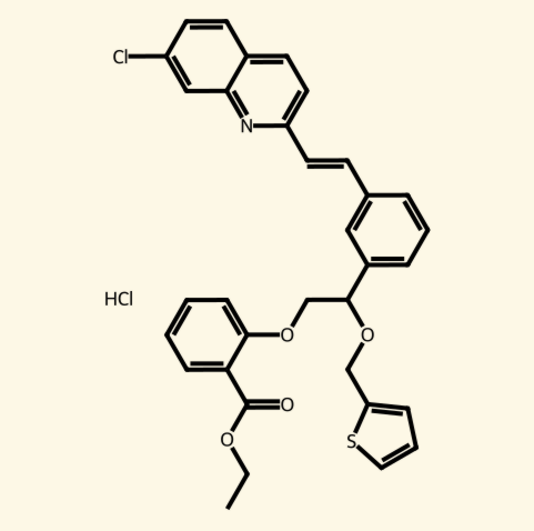 CCOC(=O)c1ccccc1OCC(OCc1cccs1)c1cccc(/C=C/c2ccc3ccc(Cl)cc3n2)c1.Cl